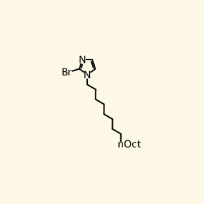 CCCCCCCCCCCCCCCCn1ccnc1Br